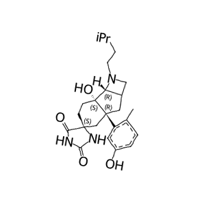 Cc1ccc(O)cc1[C@]12CC3CN(CCC(C)C)[C@H]3[C@]1(O)CC[C@@]1(C2)NC(=O)NC1=O